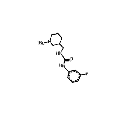 CC(C)(C)N1CCCC(CNC(=O)Nc2cccc(F)c2)C1